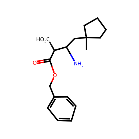 CC1(CC(N)C(C(=O)O)C(=O)OCc2ccccc2)CCCC1